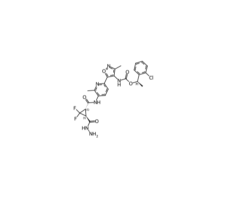 Cc1nc(-c2onc(C)c2NC(=O)O[C@H](C)c2ccccc2Cl)ccc1NC(=O)[C@@H]1[C@@H](C(=O)NN)C1(F)F